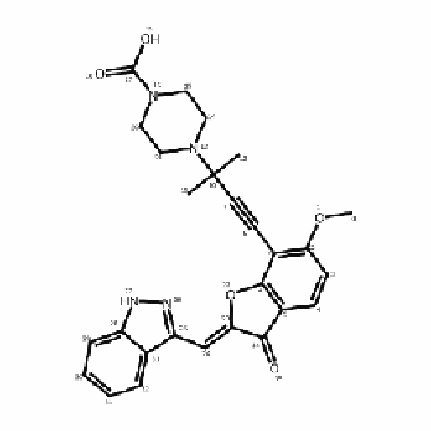 COc1ccc2c(c1C#CC(C)(C)N1CCN(C(=O)O)CC1)OC(=Cc1n[nH]c3ccccc13)C2=O